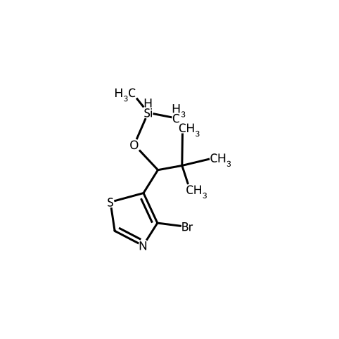 C[SiH](C)OC(c1scnc1Br)C(C)(C)C